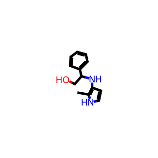 Cc1[nH]ccc1NC(CO)c1ccccc1